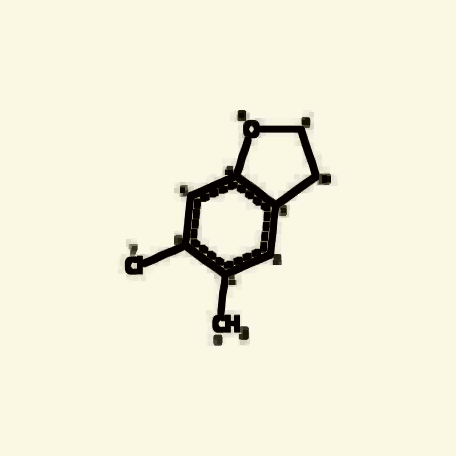 Cc1cc2c(cc1Cl)OCC2